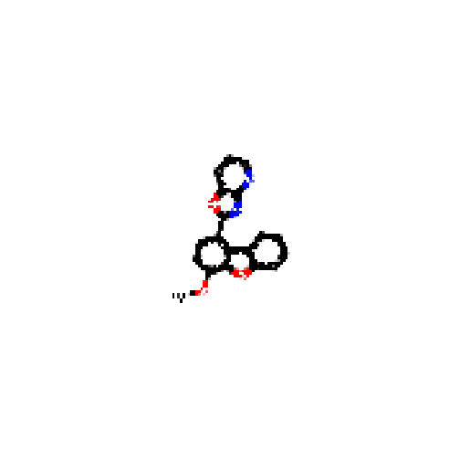 COc1ccc(-c2nc3ncccc3o2)c2c1oc1ccccc12